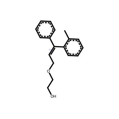 Cc1ccccc1/C(=C\COCCO)c1ccccc1